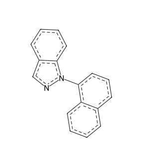 c1ccc2c(-n3ncc4ccccc43)cccc2c1